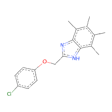 Cc1c(C)c(C)c2[nH]c(COc3ccc(Cl)cc3)nc2c1C